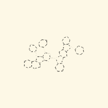 c1ccc(-c2nc(-n3c4ccccc4c4cc5c(cc43)c3ccccc3n5-c3ccccc3)nc3c4ccc5ccccc5c4n(-c4ccccc4)c23)cc1